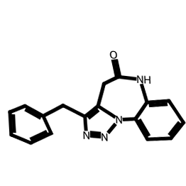 O=C1Cc2c(Cc3ccccc3)nnn2-c2ccccc2N1